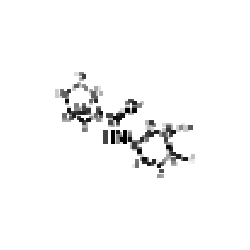 Cc1ccc(NC(=O)C2CC3CCC2C3)cc1C